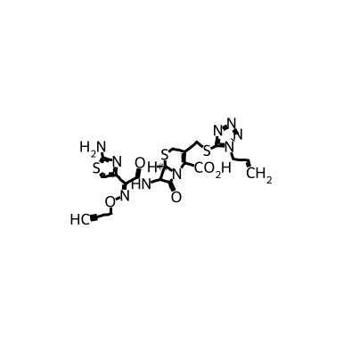 C#CCON=C(C(=O)NC1C(=O)N2C(C(=O)O)=C(CSc3nnnn3CC=C)CS[C@@H]12)c1csc(N)n1